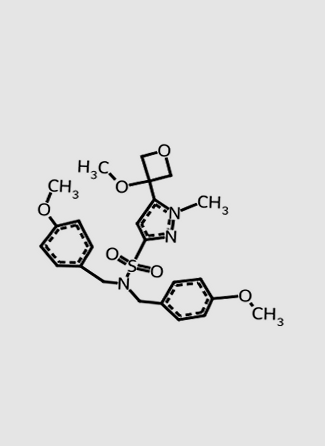 COc1ccc(CN(Cc2ccc(OC)cc2)S(=O)(=O)c2cc(C3(OC)COC3)n(C)n2)cc1